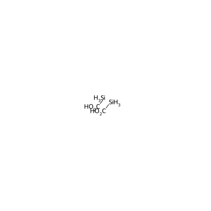 O=C(O)[SiH3].O=C(O)[SiH3]